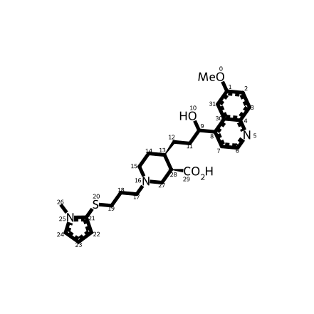 COc1ccc2nccc(C(O)CC[C@@H]3CCN(CCCSc4cccn4C)C[C@@H]3C(=O)O)c2c1